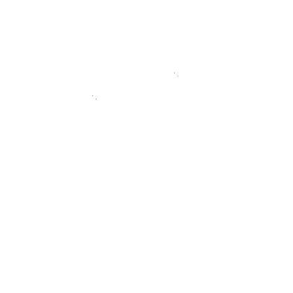 Cn1c2ccc(-c3ccc4c(c3)-c3ccccc3C4)cc2c2cc(-n3c4ccccc4c4ccccc43)ccc21